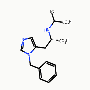 CCC(N[C@@H](Cc1cncn1Cc1ccccc1)C(=O)O)C(=O)O